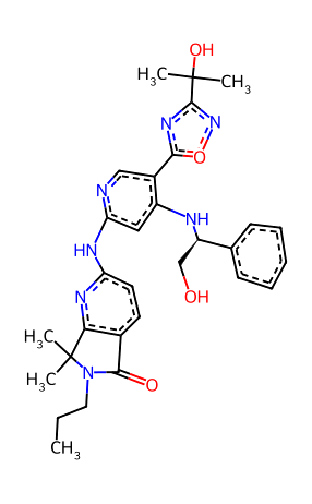 CCCN1C(=O)c2ccc(Nc3cc(N[C@H](CO)c4ccccc4)c(-c4nc(C(C)(C)O)no4)cn3)nc2C1(C)C